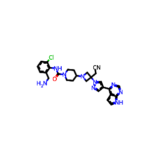 N#CCC1(n2cc(-c3ncnc4[nH]ccc34)cn2)CN(C2CCN(C(=O)Nc3c(Cl)cccc3CN)CC2)C1